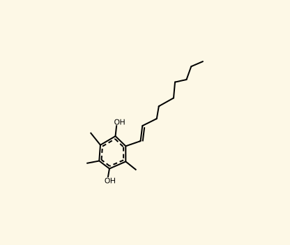 CCCCCCC/C=C/c1c(C)c(O)c(C)c(C)c1O